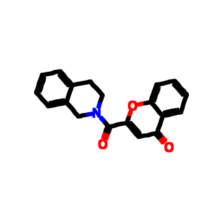 O=C(c1cc(=O)c2ccccc2o1)N1CCc2ccccc2C1